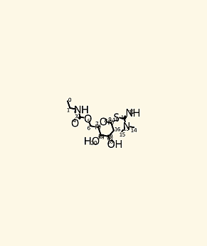 CCNC(=O)OC[C@H]1O[C@H](SC(=N)N(C)C)C[C@@H](O)[C@@H]1O